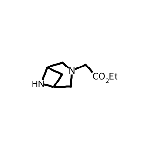 CCOC(=O)CN1CC2CC(C1)N2